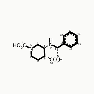 C[C@H](N[C@H]1CN(C(=O)O)CC[C@H]1C(=O)O)c1ccccc1